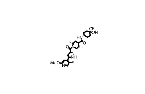 COc1cc(-c2cc(C(=O)N3C[C@@H](C)C(C(=O)N[C@H]4CC[C@@](O)(C(F)(F)F)CC4)C[C@H]3C)n[nH]2)c(F)cn1